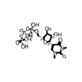 Cn1cc([C@@H]2O[C@H](COP(=O)(O)OP(=O)(O)OP(=O)(O)O)C(O)[C@@H]2O)c(=O)n(C)c1=O